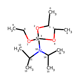 CCO[Si](OCC)(OCC)N(C(C)C)C(C)C